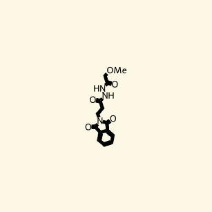 COCC(=O)NNC(=O)CCN1C(=O)c2ccccc2C1=O